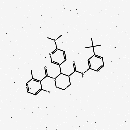 Cc1cccc(F)c1C(=O)N1CCCC(C(=O)Nc2cccc(C(C)(C)C)c2)C1c1ccc(N(C)C)nc1